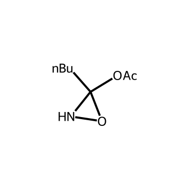 CCCCC1(OC(C)=O)NO1